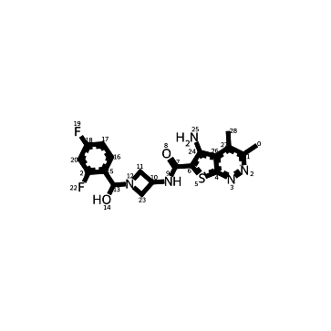 Cc1nnc2sc(C(=O)NC3CN(C(O)c4ccc(F)cc4F)C3)c(N)c2c1C